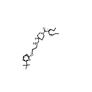 CC/C=C\C(=C/CC)C(=O)N1CCC(F)(CNCCOc2cccc(C(C)(C)F)n2)CC1